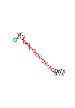 COC(COCCOCCOCCOCCOCCOCCOCCOCCOCCOCCOc1cc(Cl)cc([N+](=O)[O-])c1)OC